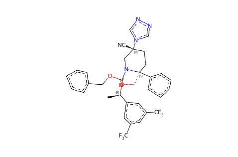 C[C@@H](OC[C@@]1(c2ccccc2)CC[C@@](C#N)(n2cnnc2)CN1C(=O)OCc1ccccc1)c1cc(C(F)(F)F)cc(C(F)(F)F)c1